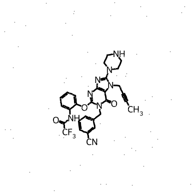 CC#CCn1c(N2CCNCC2)nc2nc(Oc3ccccc3NC(=O)C(F)(F)F)n(Cc3cccc(C#N)c3)c(=O)c21